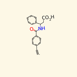 [C]#Cc1ccc(C(=O)NC(CC(=O)O)c2ccccc2)cc1